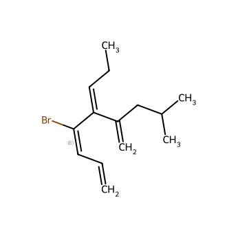 C=C/C=C(/Br)C(=CCC)C(=C)CC(C)C